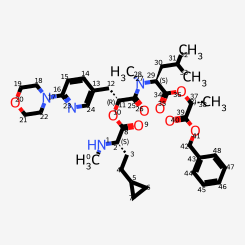 CN[C@@H](CCC1CC1)C(=O)O[C@H](Cc1ccc(N2CCOCC2)nc1)C(=O)N(C)[C@@H](CC(C)C)C(=O)O[C@H](C)C(=O)OCc1ccccc1